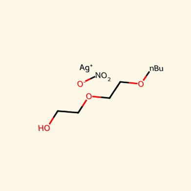 CCCCOCCOCCO.O=[N+]([O-])[O-].[Ag+]